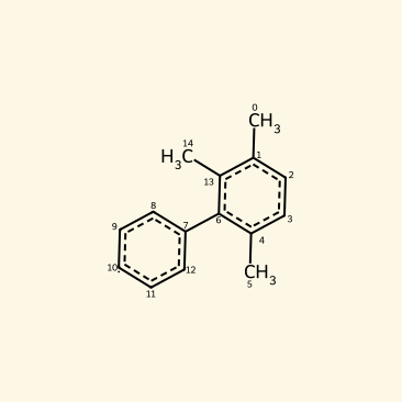 Cc1ccc(C)c(-c2cc[c]cc2)c1C